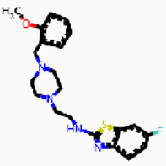 COc1ccccc1CN1CCN(CCNc2nc3ccc(F)cc3s2)CC1